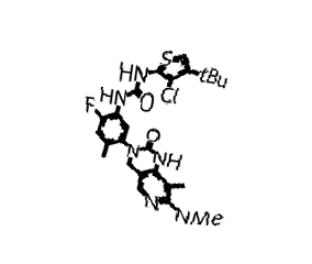 CNc1ncc2c(c1C)NC(=O)N(c1cc(NC(=O)Nc3scc(C(C)(C)C)c3Cl)c(F)cc1C)C2